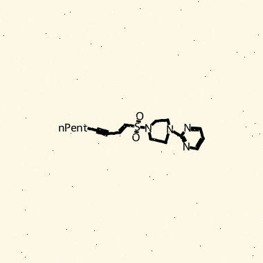 CCCCCC#CC=CS(=O)(=O)N1CCN(c2ncccn2)CC1